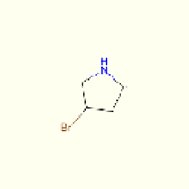 BrC1C[CH]NC1